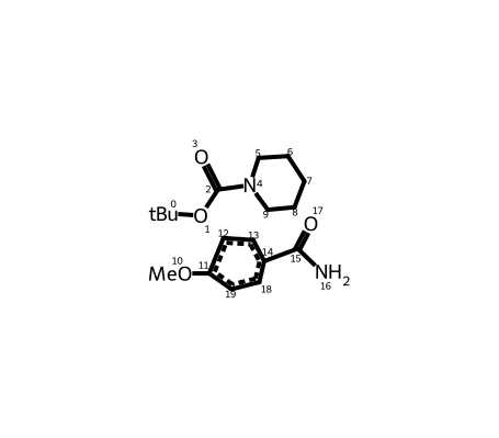 CC(C)(C)OC(=O)N1CCCCC1.COc1ccc(C(N)=O)cc1